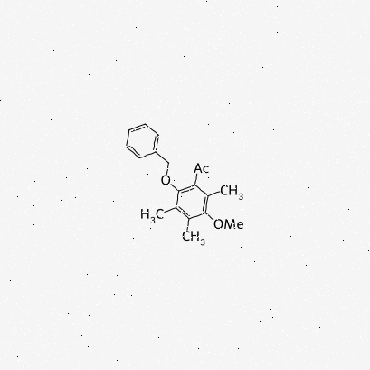 COc1c(C)c(C)c(OCc2ccccc2)c(C(C)=O)c1C